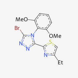 CCc1csc(-c2nnc(Br)n2-c2c(OC)cccc2OC)n1